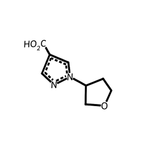 O=C(O)c1cnn(C2CCOC2)c1